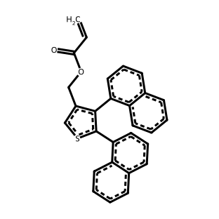 C=CC(=O)OCc1csc(-c2cccc3ccccc23)c1-c1cccc2ccccc12